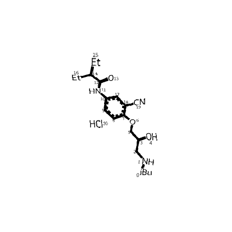 CCC(C)NCC(O)COc1ccc(NC(=O)C(CC)CC)cc1C#N.Cl